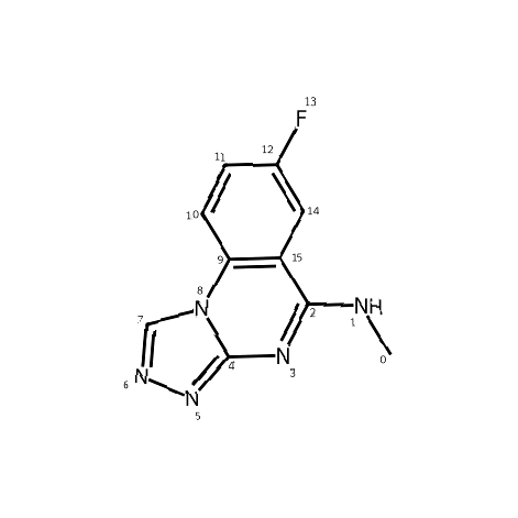 CNc1nc2nncn2c2ccc(F)cc12